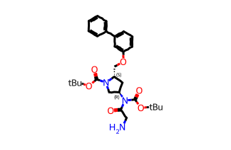 CC(C)(C)OC(=O)N1C[C@H](N(C(=O)CN)C(=O)OC(C)(C)C)C[C@H]1COc1cccc(-c2ccccc2)c1